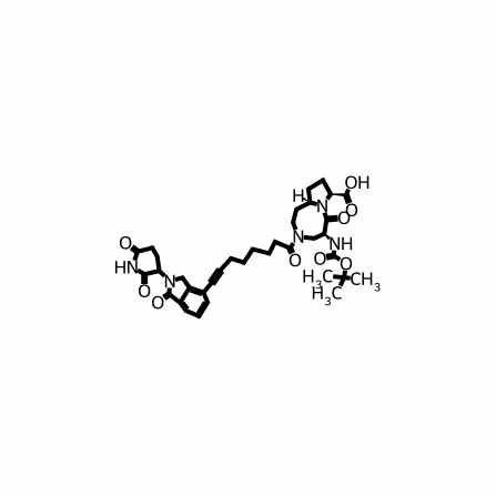 CC(C)(C)OC(=O)N[C@H]1CN(C(=O)CCCCCC#Cc2cccc3c2CN(C2CCC(=O)NC2=O)C3=O)CC[C@H]2CC[C@@H](C(=O)O)N2C1=O